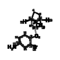 CN1[C@@H]2CC[C@H]1C[C@@H](Oc1ccc(N)cc1Br)C2